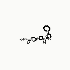 CCCCCCC(=O)N1CCC(N2CCC(Nc3nccc(N4CCCCCC4)n3)C2)CC1